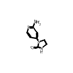 Nc1cc(N2CCNC2=O)ccn1